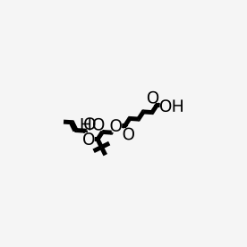 CC=CC(=O)OC(C(O)COC(=O)CCCCC(=O)O)C(C)(C)C